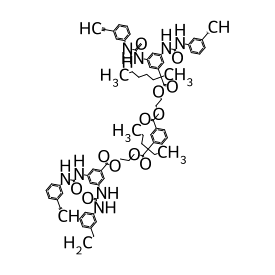 C#Cc1cccc(NC(=O)Nc2cc(NC(=O)Nc3cccc(C=C)c3)cc(C(=O)OCCOC(=O)C(CC)(CCC)c3cccc(C(=O)OCCOC(=O)C(C)(CCCCC)c4cc(NC(=O)Nc5cccc(C#C)c5)cc(NC(=O)Nc5cccc(C#C)c5)c4)c3)c2)c1